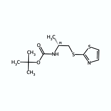 C[C@H](CSc1nccs1)NC(=O)OC(C)(C)C